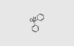 O=[PH](c1ccccc1)C1C=CC=CC1